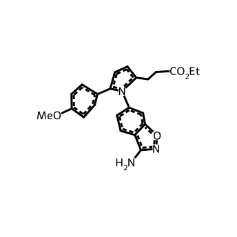 CCOC(=O)CCc1ccc(-c2ccc(OC)cc2)n1-c1ccc2c(N)noc2c1